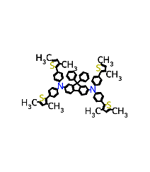 Cc1cc(C)c(-c2ccc(N(c3ccc(-c4sc(C)cc4C)cc3)c3ccc4c(c3)C(c3ccccc3)(c3ccccc3)c3cc(N(c5ccc(-c6sc(C)cc6C)cc5)c5ccc(-c6sc(C)cc6C)cc5)ccc3-4)cc2)s1